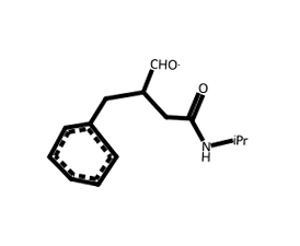 CC(C)NC(=O)CC([C]=O)Cc1ccccc1